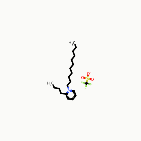 CCCCCCCCCCC[n+]1ccccc1CCCC.O=S(=O)([O-])C(F)(F)F